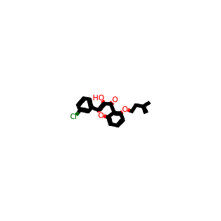 C=C(C)CCOc1cccc2oc(-c3cccc(Cl)c3)c(O)c(=O)c12